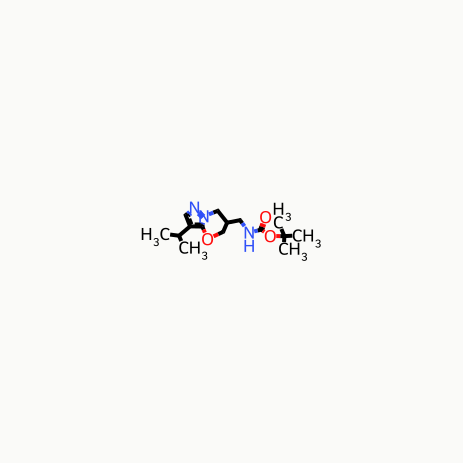 CC(C)c1cnn2c1OCC(CNC(=O)OC(C)(C)C)C2